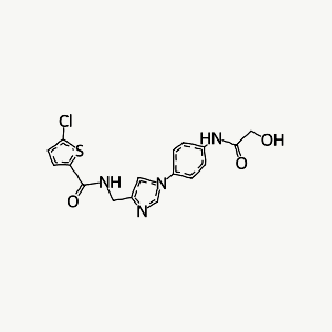 O=C(CO)Nc1ccc(-n2cnc(CNC(=O)c3ccc(Cl)s3)c2)cc1